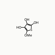 COc1sc(O)c(O)c1O